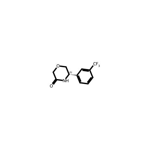 O=C1COC[C@H](c2cccc(C(F)(F)F)c2)N1